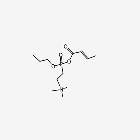 CC=CC(=O)OP(=O)(CC[N+](C)(C)C)OCCC